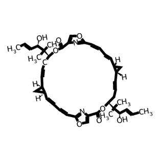 C/C=C/[C@H](O)C(C)(C)[C@@H]1C/C=C\[C@@H]2C[C@@H]2/C=C/C=C\c2nc(co2)C(=O)O[C@H](C(C)(C)[C@@H](O)/C=C/C)C/C=C\[C@H]2C[C@H]2/C=C/C=C\c2nc(co2)C(=O)O1